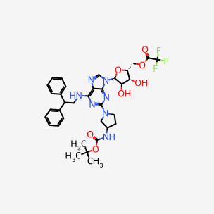 CC(C)(C)OC(=O)NC1CCN(c2nc(NCC(c3ccccc3)c3ccccc3)c3ncn([C@H]4O[C@H](COC(=O)C(F)(F)F)[C@@H](O)C4O)c3n2)C1